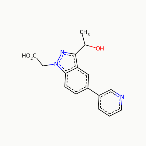 CC(O)c1nn(CC(=O)O)c2ccc(-c3cccnc3)cc12